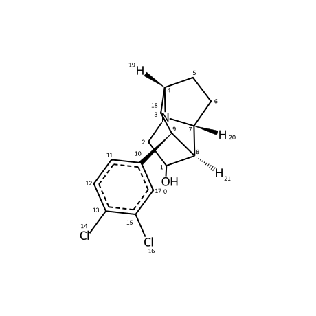 OC1CN2[C@H]3CC[C@@H]2[C@@H]1[C@@H](c1ccc(Cl)c(Cl)c1)C3